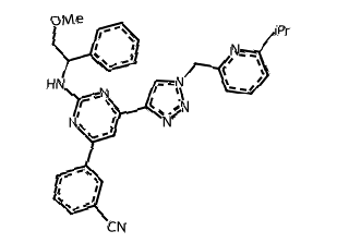 COCC(Nc1nc(-c2cccc(C#N)c2)cc(-c2cn(Cc3cccc(C(C)C)n3)nn2)n1)c1ccccc1